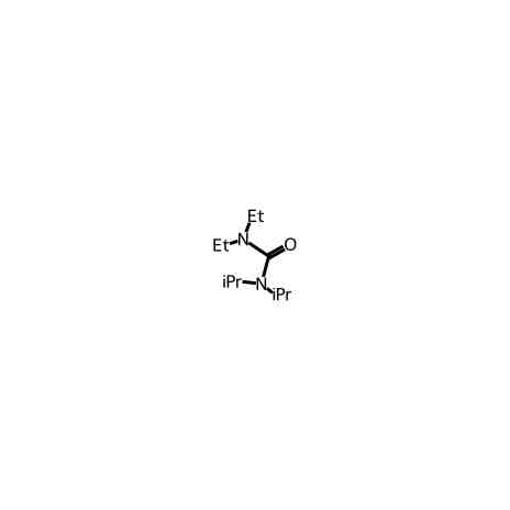 CCN(CC)C(=O)N(C(C)C)C(C)C